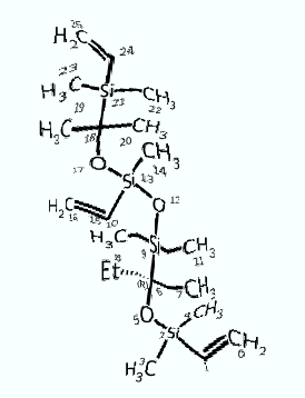 C=C[Si](C)(C)O[C@@](C)(CC)[Si](C)(C)O[Si](C)(C=C)OC(C)(C)[Si](C)(C)C=C